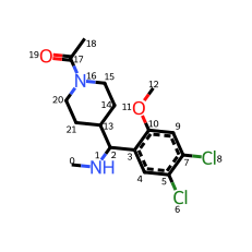 CNC(c1cc(Cl)c(Cl)cc1OC)C1CCN(C(C)=O)CC1